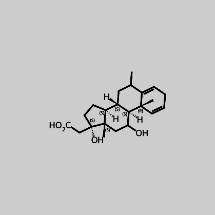 CC1C[C@@H]2[C@H](C(O)C[C@@]3(C)[C@H]2CC[C@]3(O)CC(=O)O)[C@@]2(C)C=CCC=C12